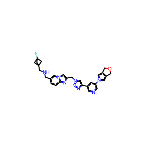 FC12CC(CNCc3ccc4nc(Cn5cc(-c6cncc(-n7cc8c(c7)COC8)c6)nn5)cn4c3)(C1)C2